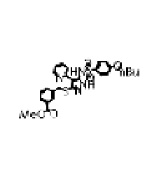 CCCCOc1ccc(S(=O)(=O)Nc2[nH]nc(SCc3cccc(C(=O)OC)c3)c2-c2ccccn2)cc1